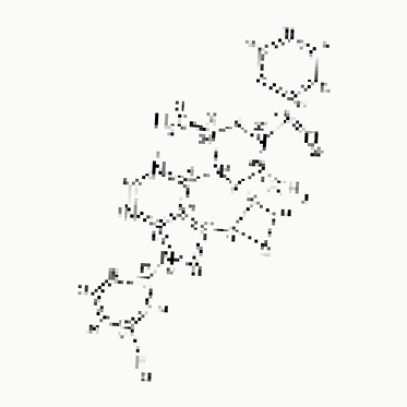 C[C@@H]1CN(c2ncnc3c2c(C2CCC2)cn3-c2cccc(F)c2)[C@@H](C)CN1C(=O)c1ccccc1